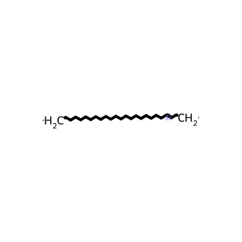 [CH2]C/C=C/CCCCCCCCCCCCCCCCCCCC[CH2]